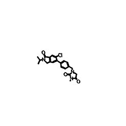 CC(C)N1Cc2cc(-c3ccc(CN4CC(=O)N(C)C4=O)cc3)c(Cl)cc2C1=O